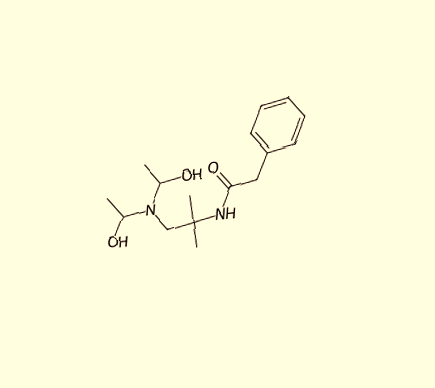 CC(O)N(CC(C)(C)NC(=O)Cc1ccccc1)C(C)O